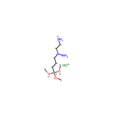 CO[Si](CCCN(N)CCN)(OC)OC.Cl